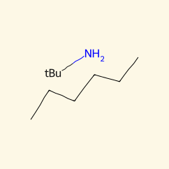 CC(C)(C)N.CCCCCC